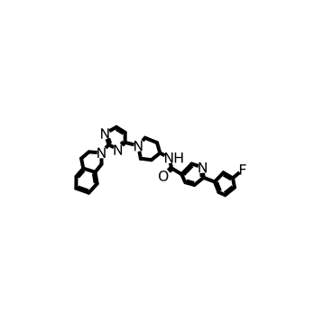 O=C(NC1CCN(c2ccnc(N3CCc4ccccc4C3)n2)CC1)c1ccc(-c2cccc(F)c2)nc1